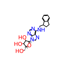 OC[C@H]1O[C@@H](n2cnc3c(NCC4CCc5ccccc54)ncnc32)C(O)C1O